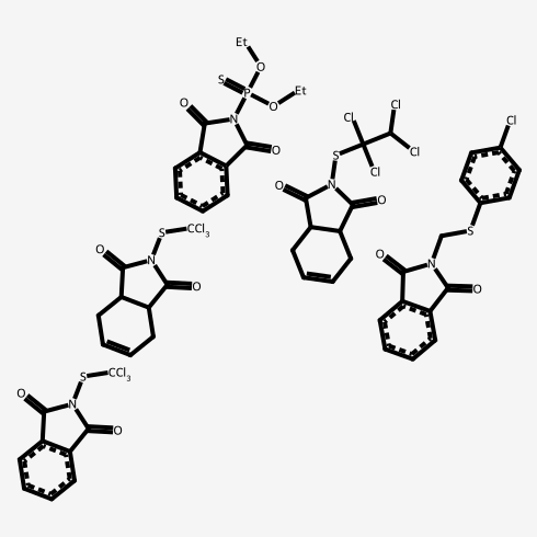 CCOP(=S)(OCC)N1C(=O)c2ccccc2C1=O.O=C1C2CC=CCC2C(=O)N1SC(Cl)(Cl)C(Cl)Cl.O=C1C2CC=CCC2C(=O)N1SC(Cl)(Cl)Cl.O=C1c2ccccc2C(=O)N1CSc1ccc(Cl)cc1.O=C1c2ccccc2C(=O)N1SC(Cl)(Cl)Cl